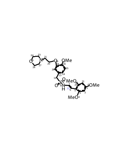 COc1cc(OC)c(/C=C/NS(=O)(=O)Cc2ccc(OC)c(OCCN3CCOCC3)c2)c(OC)c1